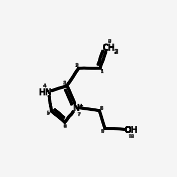 C=CCc1[nH]cc[n+]1CCO